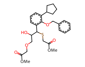 COC(=O)COCC(O)C(SCC(=O)OC)c1cccc(C2CCCC2)c1OCc1ccccc1